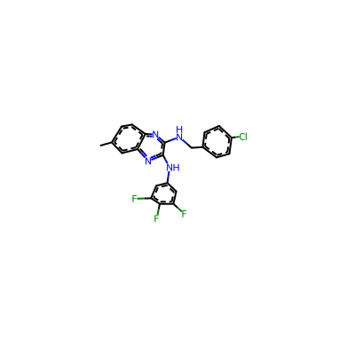 Cc1ccc2nc(NCc3ccc(Cl)cc3)c(Nc3cc(F)c(F)c(F)c3)nc2c1